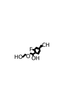 C#Cc1ccc(C(O)COCCO)c(F)c1